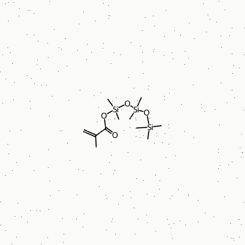 C=C(C)C(=O)O[Si](C)(C)O[Si](C)(C)O[Si](C)(C)C